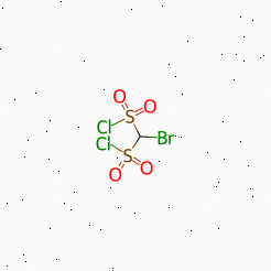 O=S(=O)(Cl)C(Br)S(=O)(=O)Cl